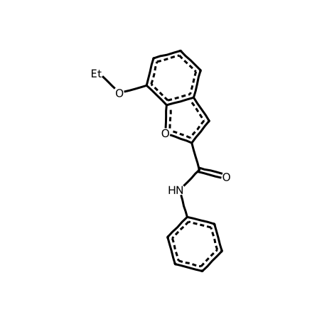 CCOc1cccc2cc(C(=O)Nc3ccccc3)oc12